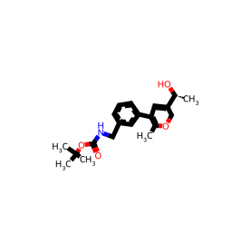 CC1=C(c2cccc(CNC(=O)OC(C)(C)C)c2)C=C([C@@H](C)O)CO1